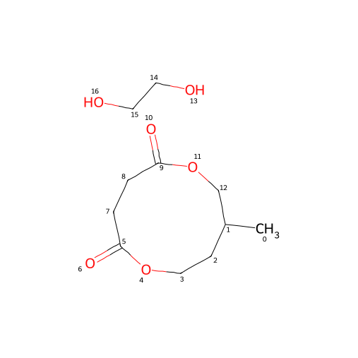 CC1CCOC(=O)CCC(=O)OC1.OCCO